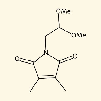 COC(CN1C(=O)C(C)=C(C)C1=O)OC